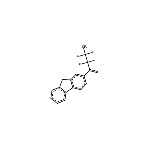 C=C(c1ccc2c(c1)Cc1ccccc1-2)C(F)(F)C(F)(F)C(F)(F)F